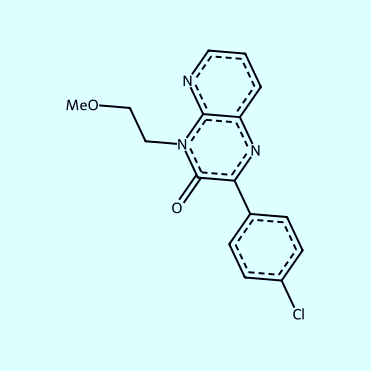 COCCn1c(=O)c(-c2ccc(Cl)cc2)nc2cccnc21